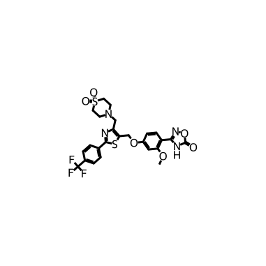 COc1cc(OCc2sc(-c3ccc(C(F)(F)F)cc3)nc2CN2CCS(=O)(=O)CC2)ccc1-c1noc(=O)[nH]1